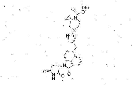 CC(C)(C)OC(=O)N1CC[C@H](n2cc(Cc3ccc4c5c(cccc35)C(=O)N4C3CCC(=O)NC3=O)cn2)CC12CC2